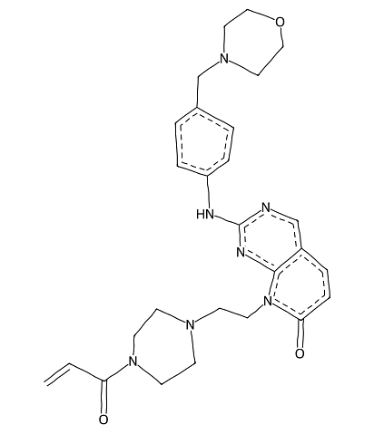 C=CC(=O)N1CCN(CCn2c(=O)ccc3cnc(Nc4ccc(CN5CCOCC5)cc4)nc32)CC1